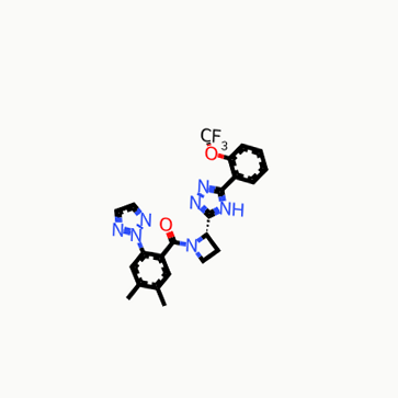 Cc1cc(C(=O)N2CC[C@H]2c2nnc(-c3ccccc3OC(F)(F)F)[nH]2)c(-n2nccn2)cc1C